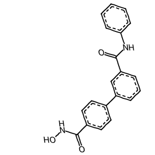 O=C(NO)c1ccc(-c2cccc(C(=O)Nc3ccccc3)c2)cc1